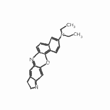 CCN(CC)c1ccc2c3c(ccc2c1)N=c1cc2c(cc1O3)=NCC2